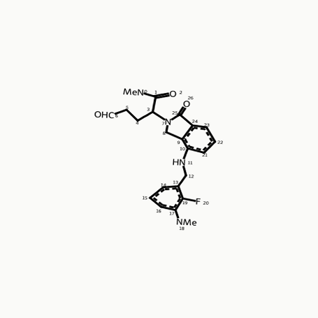 CNC(=O)C(CCC=O)N1Cc2c(NCc3cccc(NC)c3F)cccc2C1=O